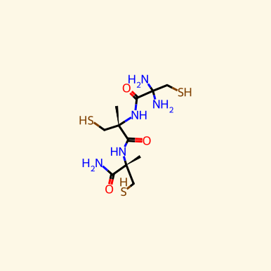 C[C@](CS)(NC(=O)[C@](C)(CS)NC(=O)C(N)(N)CS)C(N)=O